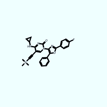 C[Si](C)(C)C#Cc1cn(-c2nc(-c3ccc(F)cc3)oc2-c2ccccc2)c(=O)nc1NC1CC1